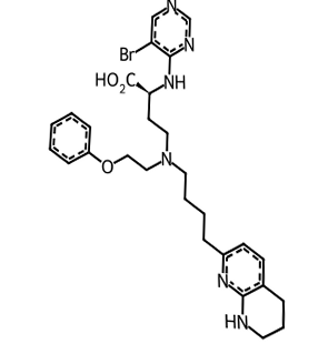 O=C(O)[C@H](CCN(CCCCc1ccc2c(n1)NCCC2)CCOc1ccccc1)Nc1ncncc1Br